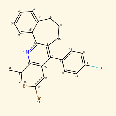 CC(C)c1nc2c(c(-c3ccc(F)cc3)c1C=C(Br)Br)CCCc1ccccc1-2